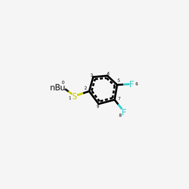 CCCCSc1ccc(F)c(F)c1